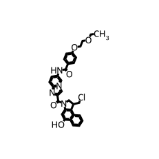 CCOCCOc1ccc(C(=O)Nc2ccc3nc(C(=O)N4CC(CCl)c5c4cc(O)c4ccccc54)cn3c2)cc1